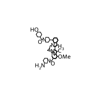 COc1cc(C(=O)N2CCCC(N)C2)cn2nc(-c3cc4cccc(C5CCN(C(=O)C6CCC(O)CC6)CC5)c4n3CC3CC3)c(C)c12